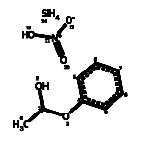 CC(O)Oc1ccccc1.O=[N+]([O-])O.[SiH4]